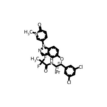 CC(C)[C@H](NC(=O)C(C)(F)F)[C@H](Oc1ccc2c(cnn2-c2ccc(=O)n(C)c2)c1)c1cc(Cl)cc(Cl)c1